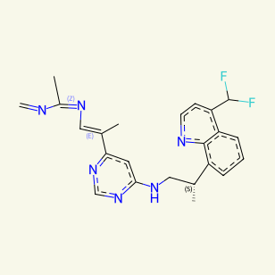 C=N/C(C)=N\C=C(/C)c1cc(NC[C@@H](C)c2cccc3c(C(F)F)ccnc23)ncn1